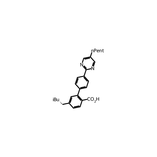 CCCCCc1cnc(-c2ccc(-c3cc(C[C@@H](C)CC)ccc3C(=O)O)cc2)nc1